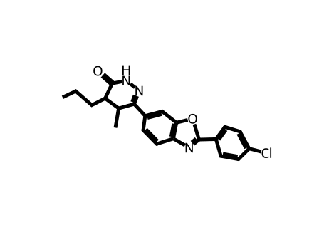 CCCC1C(=O)NN=C(c2ccc3nc(-c4ccc(Cl)cc4)oc3c2)C1C